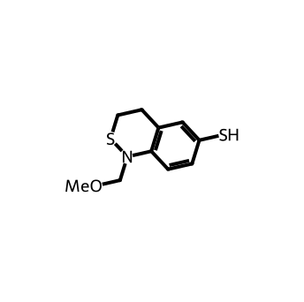 COCN1SCCc2cc(S)ccc21